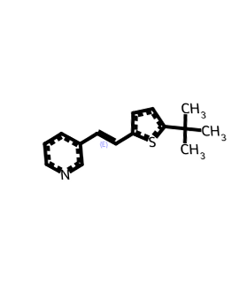 CC(C)(C)c1ccc(/C=C/c2cccnc2)s1